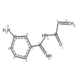 C=CC(=O)NC(=N)c1cccc(N)c1